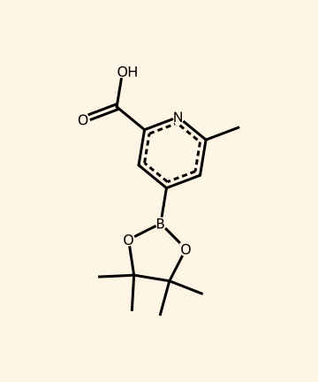 Cc1cc(B2OC(C)(C)C(C)(C)O2)cc(C(=O)O)n1